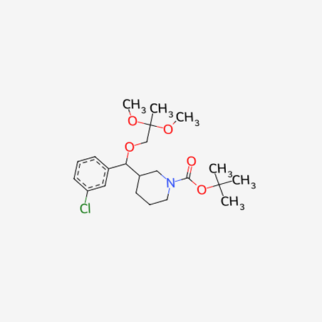 COC(C)(COC(c1cccc(Cl)c1)C1CCCN(C(=O)OC(C)(C)C)C1)OC